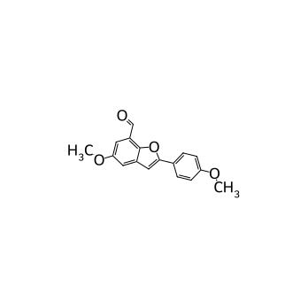 COc1ccc(-c2cc3cc(OC)cc(C=O)c3o2)cc1